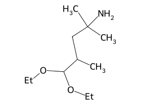 CCOC(OCC)C(C)CC(C)(C)N